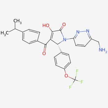 CC(C)c1ccc(C(=O)C2=C(O)C(=O)N(c3ccc(CN)nn3)[C@@H]2c2ccc(OC(F)(F)F)cc2)cc1